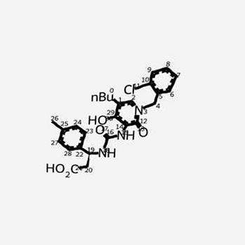 CCCCc1cn(Cc2ccccc2Cl)c(=O)c(NC(=O)N[C@@H](CC(=O)O)c2ccc(C)cc2)c1O